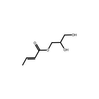 CC=CC(=O)OCC(O)CO